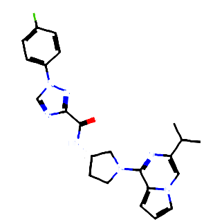 CC(C)c1cn2cccc2c(N2CC[C@H](NC(=O)c3ncn(-c4ccc(F)cc4)n3)C2)n1